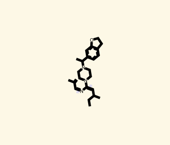 C=C(C)/C=N\C(=C/C(C)CC)N1CCN(C(C)c2ccc3c(c2)OCC3)CC1